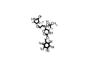 [2H]c1c([2H])c([2H])c(COC(=O)N[C@@H](CC(C)C)C(=O)N[C@H](C=O)C[C@@H]2CCNC2=O)c([2H])c1[2H]